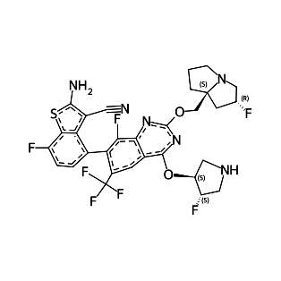 N#Cc1c(N)sc2c(F)ccc(-c3c(C(F)(F)F)cc4c(O[C@H]5CNC[C@@H]5F)nc(OC[C@@]56CCCN5C[C@H](F)C6)nc4c3F)c12